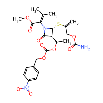 C=C(COC(N)=O)S[C@@H]1[C@@H](C(C)OC(=O)OCc2ccc([N+](=O)[O-])cc2)C(=O)N1C(C(=O)OC)=C(C)C